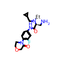 CCN(CC1CC1)[C@@H](CN)C(=O)Nc1ccc(N2CCOCC2=O)c(F)c1